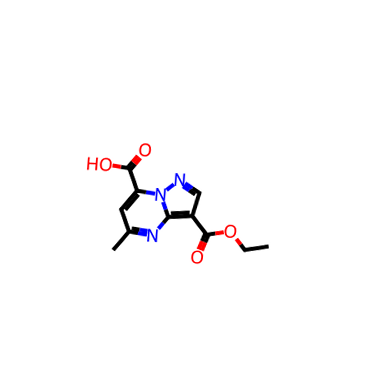 CCOC(=O)c1cnn2c(C(=O)O)cc(C)nc12